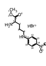 Br.COC(=O)C(N)CCCNc1ccc([N+](=O)[O-])cc1